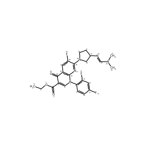 CCOC(=O)c1cn(-c2ccc(F)cc2F)c2nc(N3CCC(N=CN(C)C)C3)c(F)cc2c1=O